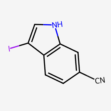 N#Cc1ccc2c(I)c[nH]c2c1